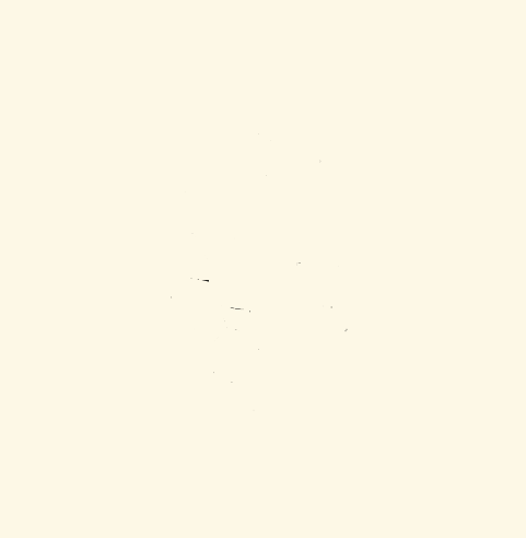 CC(C)CCCC(C)[C@H]1CC[C@H]2[C@@H]3CC=C4C[C@@H](O)CC[C@]4(C)[C@H]3CC[C@]12C.CC(C)OC(=O)O